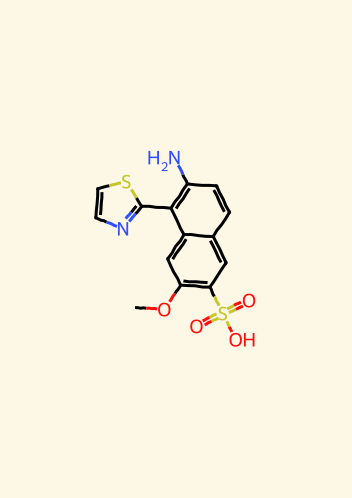 COc1cc2c(-c3nccs3)c(N)ccc2cc1S(=O)(=O)O